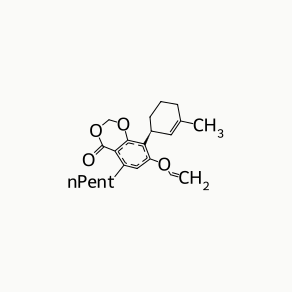 C=COc1cc(CCCCC)c2c(c1[C@@H]1C=C(C)CCC1)OCOC2=O